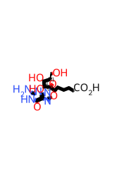 Nc1nc2c(ncn2[C@]2(C(=O)CCCCC(=O)O)O[C@H](CO)[C@@H](O)[C@H]2O)c(=O)[nH]1